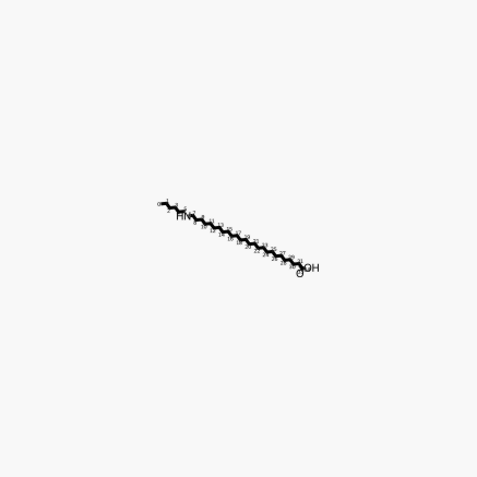 CCCCCCNCCCCCCCCCCCCCCCCCCCCCCCCCC(=O)O